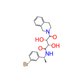 C[C@H](NC(=O)C(O)C(O)C(=O)N1CCc2ccccc2C1)c1cccc(Br)c1